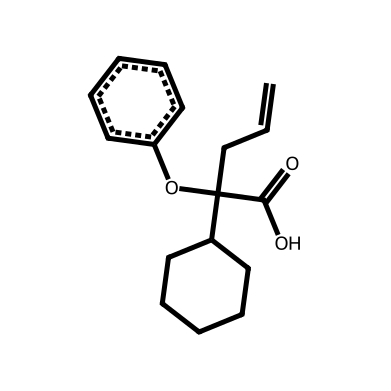 C=CCC(Oc1ccccc1)(C(=O)O)C1CCCCC1